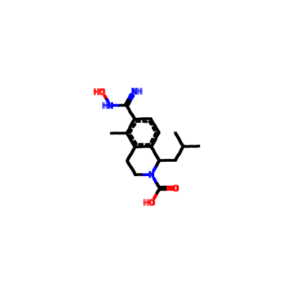 Cc1c(C(=N)NO)ccc2c1CCN(C(=O)O)C2CC(C)C